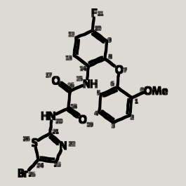 COc1ccccc1Oc1cc(F)ccc1NC(=O)C(=O)Nc1ncc(Br)s1